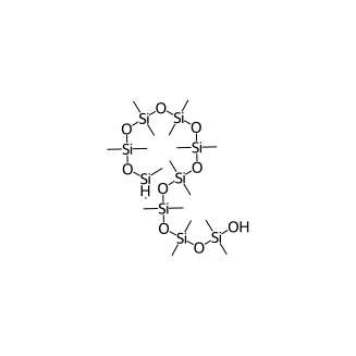 C[SiH](C)O[Si](C)(C)O[Si](C)(C)O[Si](C)(C)O[Si](C)(C)O[Si](C)(C)O[Si](C)(C)O[Si](C)(C)O[Si](C)(C)O